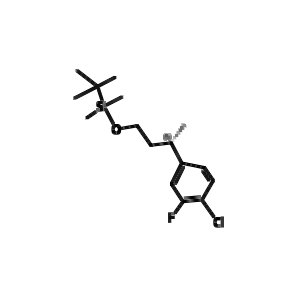 C[C@@H](CCO[Si](C)(C)C(C)(C)C)c1ccc(Cl)c(F)c1